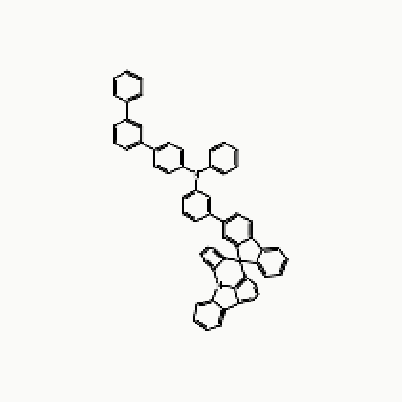 c1ccc(-c2cccc(-c3ccc(N(c4ccccc4)c4cccc(-c5ccc6c(c5)C5(c7ccccc7-6)c6ccccc6-n6c7ccccc7c7cccc5c76)c4)cc3)c2)cc1